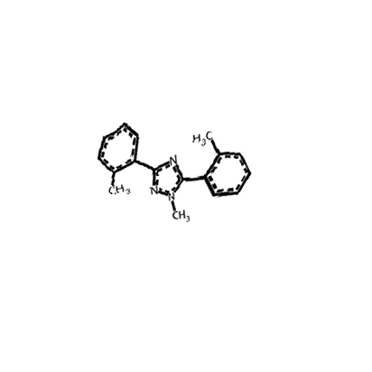 Cc1ccccc1-c1nc(-c2ccccc2C)n(C)n1